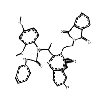 COc1ccc(N(C(=O)Nc2ccccc2)C(C)c2nc3ccc(Cl)cc3c(=O)n2CCN2C(=O)c3ccccc3C2=O)c(OC)c1